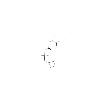 COC(C)[C@@H](OC(C)=O)OC(=O)N[C@@](C)(CC1CCC1)C(=O)O